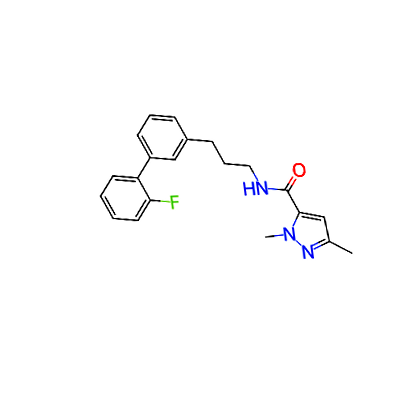 Cc1cc(C(=O)NCCCc2cccc(-c3ccccc3F)c2)n(C)n1